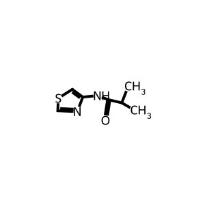 CC(C)C(=O)Nc1cscn1